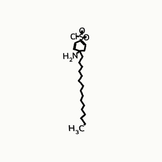 CCCCCCCCCCCCCCCCC1(N)C=CC(S(=O)(=O)Cl)=CC1